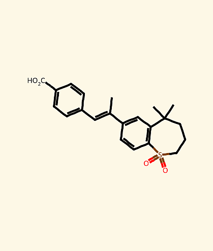 C/C(=C\c1ccc(C(=O)O)cc1)c1ccc2c(c1)C(C)(C)CCCS2(=O)=O